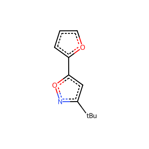 CC(C)(C)c1cc(-c2ccco2)on1